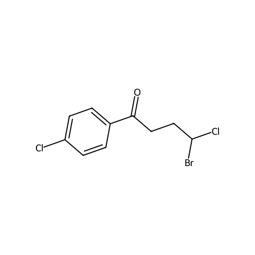 O=C(CCC(Cl)Br)c1ccc(Cl)cc1